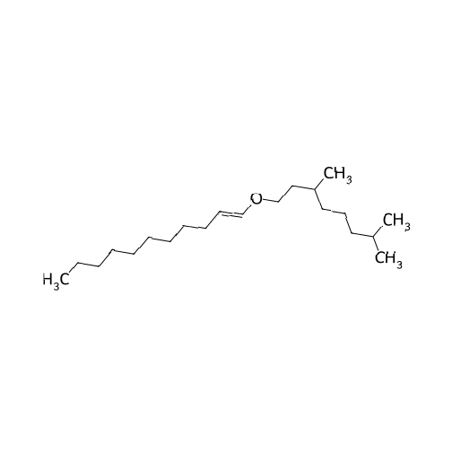 CCCCCCCCCC=COCCC(C)CCCC(C)C